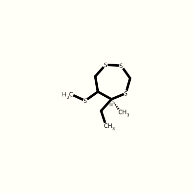 CC[C@]1(C)SCSSCC1SC